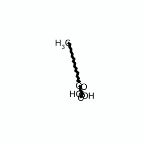 CCCCCCCCCCCCCCCCC=COC(=O)CCP(=O)(O)O